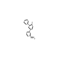 Nc1cccc(-c2ccc(I)c(-c3ccccc3)c2)c1